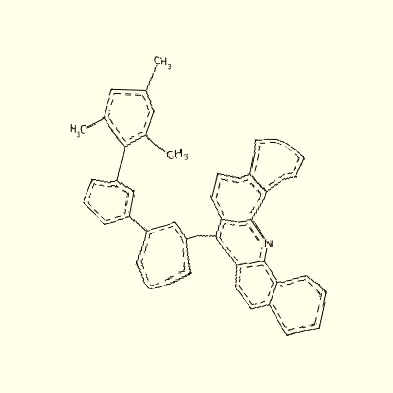 Cc1cc(C)c(-c2cccc(-c3cccc(-c4c5ccc6ccccc6c5nc5c4ccc4ccccc45)c3)c2)c(C)c1